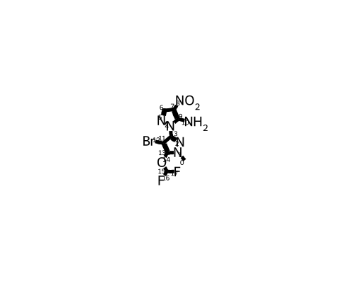 Cn1nc(-n2ncc([N+](=O)[O-])c2N)c(Br)c1OC(F)F